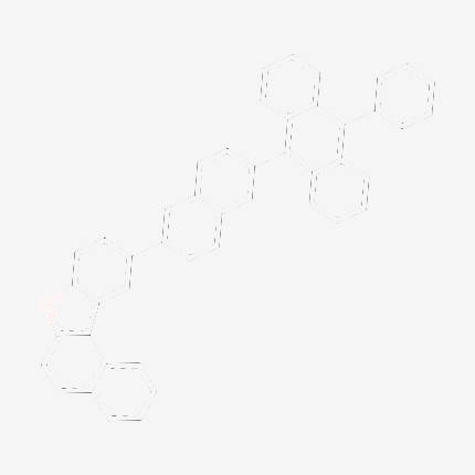 c1ccc(-c2c3ccccc3c(-c3ccc4cc(-c5ccc6oc7ccc8ccccc8c7c6c5)ccc4c3)c3ccccc23)cc1